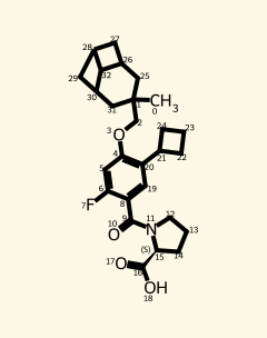 CC1(COc2cc(F)c(C(=O)N3CCC[C@H]3C(=O)O)cc2C2CCC2)CC2CC3CC(C1)C32